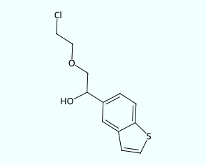 OC(COCCCl)c1ccc2sccc2c1